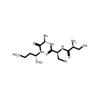 CC[C@H](C)[C@H](NC(=O)[C@H](CC(C)C)NC(=O)[C@@H](N)CO)C(=O)N[C@H]([C]=O)CCC(=O)O